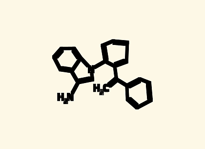 C=C(c1ccccc1)c1ccccc1-n1cc(N)c2ccccc21